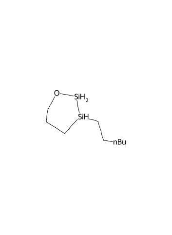 CCCCCC[SiH]1CCCO[SiH2]1